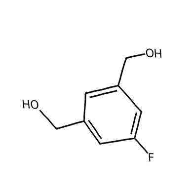 OCc1cc(F)cc(CO)c1